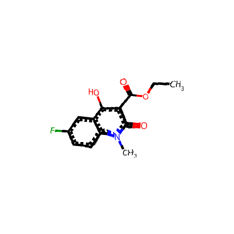 CCOC(=O)c1c(O)c2cc(F)ccc2n(C)c1=O